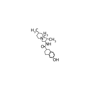 CC1CCN(CC(NC(=O)C2CCc3cc(O)ccc3C2)C(C)C)CC1